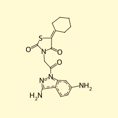 Nc1ccc2c(N)nn(C(=O)CN3C(=O)SC(=C4CCCCC4)C3=O)c2c1